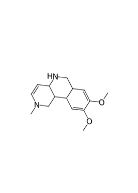 COC1=CC2CNC3C=CN(C)CC3C2C=C1OC